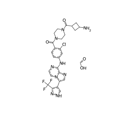 NC1CC(C(=O)N2CCN(C(=O)c3ccc(Nc4nccn5c(-c6c[nH]nc6C(F)(F)F)cnc45)cc3Cl)CC2)C1.O=CO